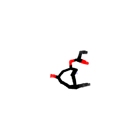 COC(=O)OC1/C=C/C(OC)CCC(O)C1